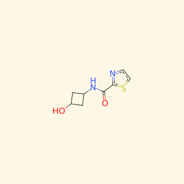 O=C(NC1CC(O)C1)c1nccs1